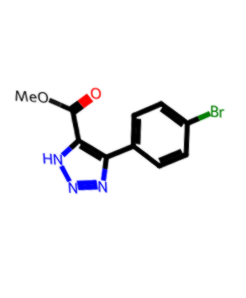 COC(=O)c1[nH]nnc1-c1ccc(Br)cc1